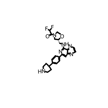 O=C(C(F)F)N1CCO[C@H](CNc2nc(-c3ccc(C4CCNCC4)cc3)cc3nccnc23)C1